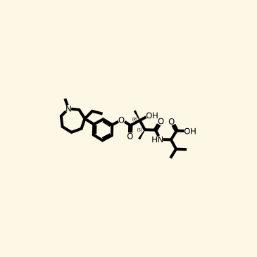 CCC1(c2cccc(OC(=O)[C@](C)(O)[C@H](C)C(=O)NC(C(=O)O)C(C)C)c2)CCCCN(C)C1